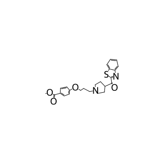 COC(=O)c1ccc(OCCCN2CCC(C(=O)c3nc4ccccc4s3)CC2)cc1